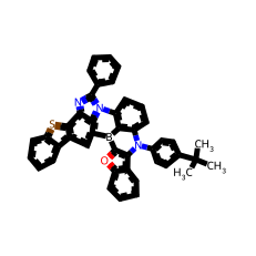 CC(C)(C)c1ccc(N2c3cccc4c3B(c3oc5ccccc5c32)c2cc3c5ccccc5sc3c3nc(-c5ccccc5)n-4c23)cc1